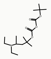 CCN(CC)C(C)CC(C)(C)OC(=O)OC(=O)OC(C)(C)C